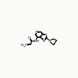 C=CC(=O)Nc1cncc2sc(N3CCCC3)nc12